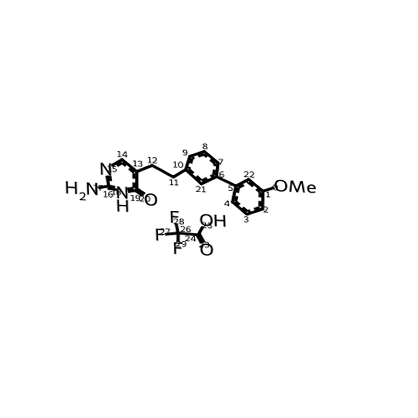 COc1cccc(-c2cccc(CCc3cnc(N)[nH]c3=O)c2)c1.O=C(O)C(F)(F)F